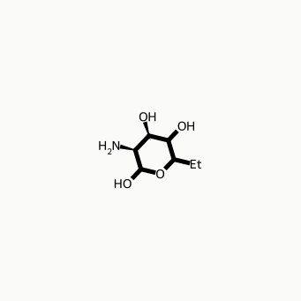 CCC1OC(O)[C@@H](N)[C@@H](O)C1O